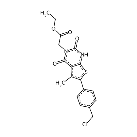 CCOC(=O)Cn1c(=O)[nH]c2sc(-c3ccc(CCl)cc3)c(C)c2c1=O